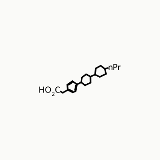 CCCC1CCC(C2CCC(c3ccc(CC(=O)O)cc3)CC2)CC1